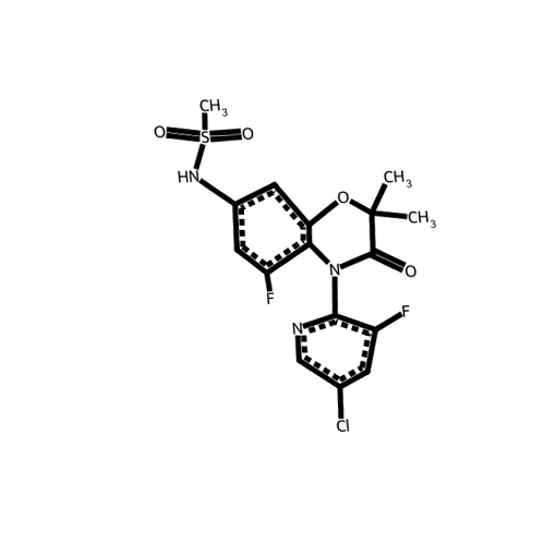 CC1(C)Oc2cc(NS(C)(=O)=O)cc(F)c2N(c2ncc(Cl)cc2F)C1=O